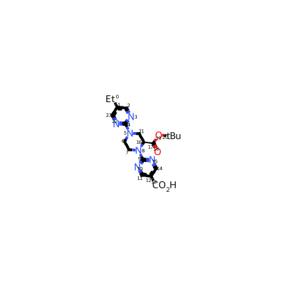 CCc1cnc(N2CCN(c3ncc(C(=O)O)cn3)[C@H](C(=O)OC(C)(C)C)C2)nc1